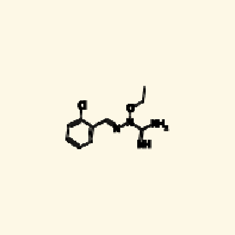 CCON(/N=C/c1ccccc1Cl)C(=N)N